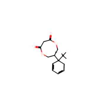 CC(C)(C)C1(C2COC(=O)CC(=O)OC2)C=CC=CC1